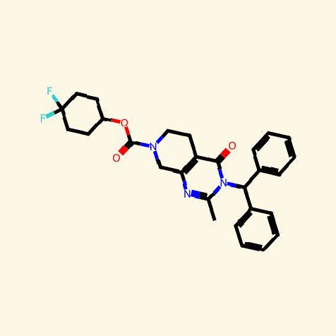 Cc1nc2c(c(=O)n1C(c1ccccc1)c1ccccc1)CCN(C(=O)OC1CCC(F)(F)CC1)C2